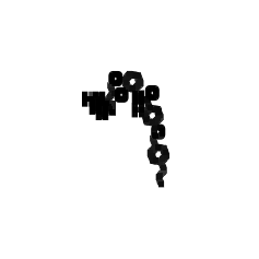 CCCc1ccc(COc2ccc(C(=O)Nc3cccc4c3OC(c3nnn[nH]3)CO4)cc2)cc1